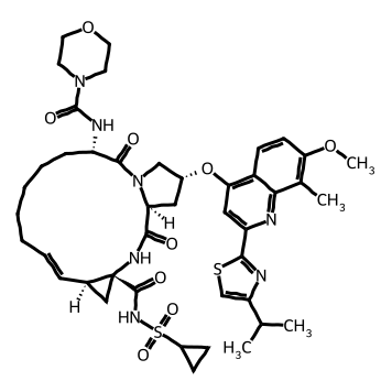 COc1ccc2c(O[C@@H]3C[C@H]4C(=O)N[C@]5(C(=O)NS(=O)(=O)C6CC6)C[C@H]5/C=C/CCCCC[C@H](NC(=O)N5CCOCC5)C(=O)N4C3)cc(-c3nc(C(C)C)cs3)nc2c1C